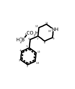 BC(=O)O.c1ccc(CC2CCNCC2)cc1